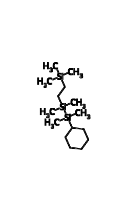 C[Si](C)(C)CC[Si](C)(C)[Si](C)(C)C1CCCCC1